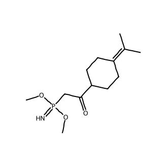 COP(=N)(CC(=O)C1CCC(=C(C)C)CC1)OC